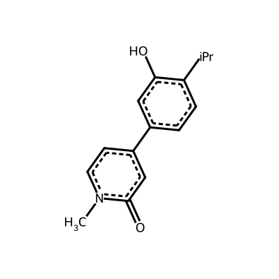 CC(C)c1ccc(-c2ccn(C)c(=O)c2)cc1O